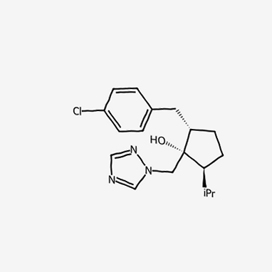 CC(C)[C@@H]1CC[C@@H](Cc2ccc(Cl)cc2)[C@]1(O)Cn1cncn1